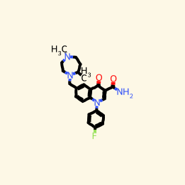 CC1CCN(C)CCN1Cc1ccc2c(c1)c(=O)c(C(N)=O)cn2-c1ccc(F)cc1